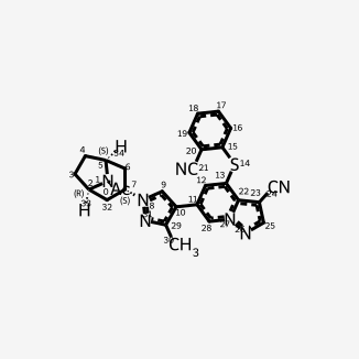 CC(=O)N1[C@@H]2CC[C@H]1C[C@H](n1cc(-c3cc(Sc4ccccc4C#N)c4c(C#N)cnn4c3)c(C)n1)C2